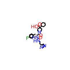 Cn1cncc1CCNC(=O)N[C@H](Cc1ccc(F)cc1)C(=O)N1CCC(C(=O)O)(C2CCCCC2)CC1